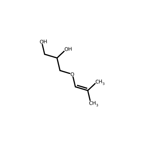 CC(C)=COCC(O)CO